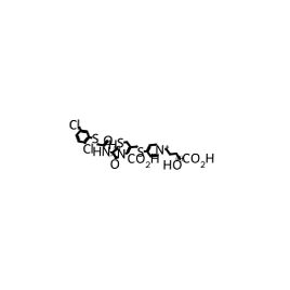 O=C(CSc1cc(Cl)ccc1Cl)N[C@H]1C(=O)N2C(C(=O)O)=C(CSc3cc[n+](CCC[C@@H](O)C(=O)O)cc3)CS[C@H]12